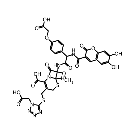 CO[C@@]1(NC(=O)C(NC(=O)c2cc3cc(O)c(O)cc3oc2=O)c2ccc(OCC(=O)O)cc2)C(=O)N2C(C(=O)O)=C(CSc3nnnn3CC(=O)O)CS[C@H]21